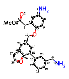 COC(=O)Cc1cc(N)ccc1OCc1cc(-c2cccc(CN)c2)c2occc2c1